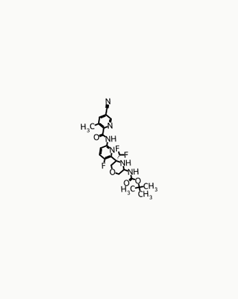 Cc1cc(C#N)cnc1C(=O)Nc1ccc(F)c([C@]2(C(F)F)COCC(NC(=O)OC(C)(C)C)N2)n1